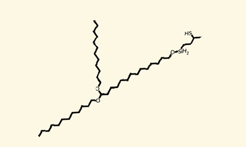 CCCCCCCCCCCCOC(CCCCCCCCCCCCCO[SiH2]CCC(C)S)OCCCCCCCCCCCC